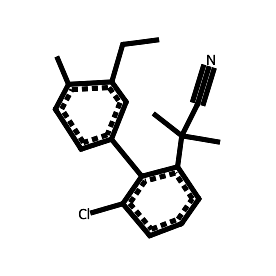 CCc1cc(-c2c(Cl)cccc2C(C)(C)C#N)ccc1C